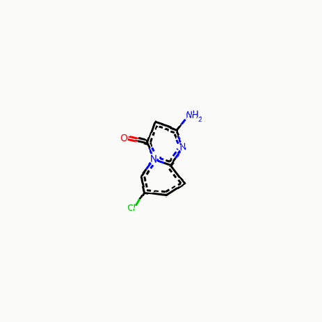 Nc1cc(=O)n2cc(Cl)[c]cc2n1